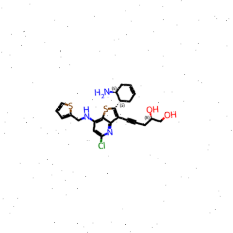 N[C@H]1CC=CC[C@@H]1c1sc2c(NCc3cccs3)cc(Cl)nc2c1C#CC[C@@H](O)CO